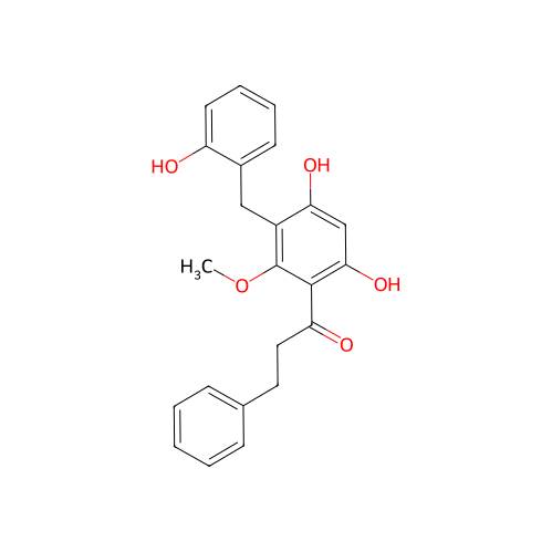 COc1c(Cc2ccccc2O)c(O)cc(O)c1C(=O)CCc1ccccc1